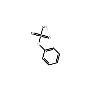 NS(=O)(=O)[B]c1ccccc1